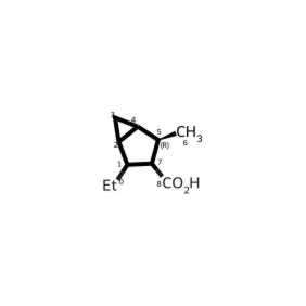 CCC1C2CC2[C@@H](C)C1C(=O)O